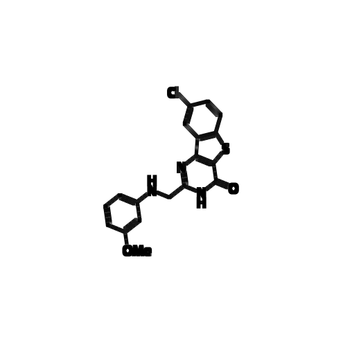 COc1cccc(NCc2nc3c(sc4ccc(Cl)cc43)c(=O)[nH]2)c1